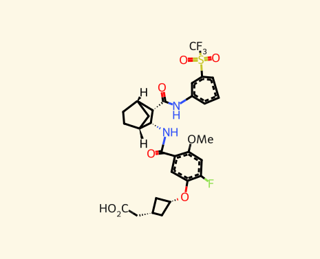 COc1cc(F)c(O[C@H]2C[C@@H](CC(=O)O)C2)cc1C(=O)N[C@@H]1[C@@H]2CC[C@@H](C2)[C@@H]1C(=O)Nc1cccc(S(=O)(=O)C(F)(F)F)c1